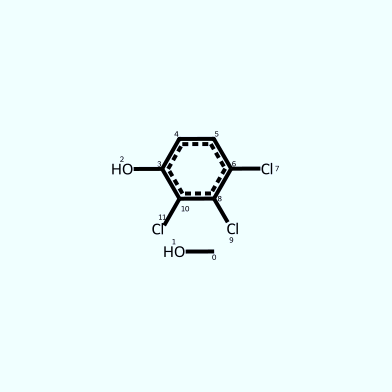 CO.Oc1ccc(Cl)c(Cl)c1Cl